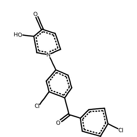 O=C(c1ccc(Cl)cc1)c1ccc(-n2ccc(=O)c(O)c2)cc1Cl